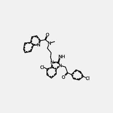 CN(CCCn1c(=N)n(CC(=O)c2ccc(Cl)cc2)c2cccc(Cl)c21)C(=O)c1ccc2ccccc2n1